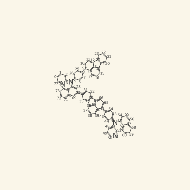 c1ccc(N(c2ccc(-c3ccc4c5c(cccc35)-c3ccccc3-4)cc2)c2cc(-c3ccc4c(c3)-c3cccc5c(-c6ccc(N(c7cccnc7)c7cccc8ccccc78)cc6)ccc-4c35)cc3ccccc23)nc1